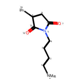 CNCCCCN1C(=O)CC(C(C)C)C1=O